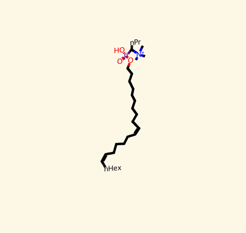 CCCCCC/C=C\CCCC/C=C\CCCCCCCCCOP(=O)(O)C(CCC)[N+](C)(C)C